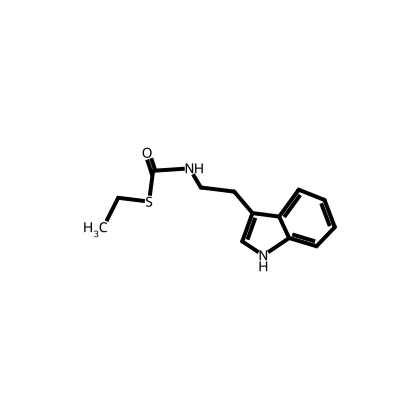 CCSC(=O)NCCc1c[nH]c2ccccc12